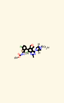 Cc1nc(N2C[C@H]3C[C@@H]2CN3C(=O)O)c2c3c(c(-c4ccc(F)c5sc(NC(=O)OC(C)(C)C)c(C#N)c45)c(F)c2n1)COC3